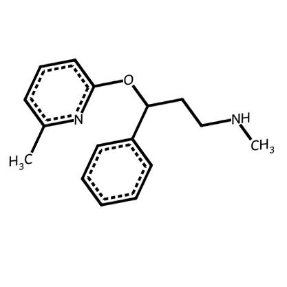 CNCCC(Oc1cccc(C)n1)c1ccccc1